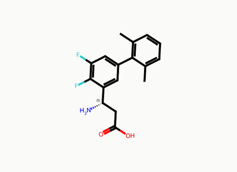 Cc1cccc(C)c1-c1cc(F)c(F)c([C@@H](N)CC(=O)O)c1